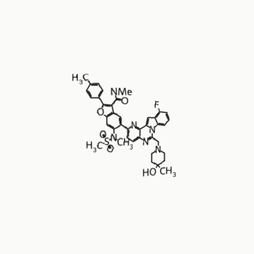 CNC(=O)c1c(-c2ccc(C)cc2)oc2cc(N(C)S(C)(=O)=O)c(-c3ccc4nc(CN5CCC(C)(O)CC5)n5c6cccc(F)c6cc5c4n3)cc12